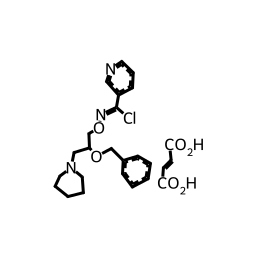 ClC(=NOCC(CN1CCCCC1)OCc1ccccc1)c1cccnc1.O=C(O)C=CC(=O)O